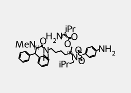 CN[C@H](C(=O)NCCCC[C@@H](COC(=O)[C@@H](N)C(C)C)N(CC(C)C)S(=O)(=O)c1ccc(N)cc1)C(c1ccccc1)c1ccccc1